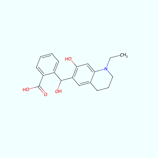 CCN1CCCc2cc(C(O)c3ccccc3C(=O)O)c(O)cc21